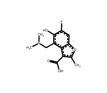 Cc1oc2cc(F)c(O)c(CN(C)C)c2c1C(=O)O